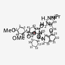 COc1ccc(COC(=O)[C@H]2CCCC[C@H]2C(=O)N2CCc3cccc(OC/C(N)=C/N(N)C(C)C)c3[C@H]2CN2Cc3ccccc3C2=O)c(OC)c1